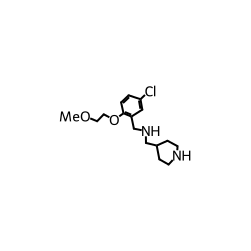 COCCOc1ccc(Cl)cc1CNCC1CCNCC1